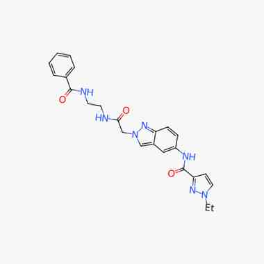 CCn1ccc(C(=O)Nc2ccc3nn(CC(=O)NCCNC(=O)c4ccccc4)cc3c2)n1